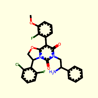 COc1cccc(-c2c3n(c(=O)n(CC(N)c4ccccc4)c2=O)C(c2c(F)cccc2Cl)CO3)c1F